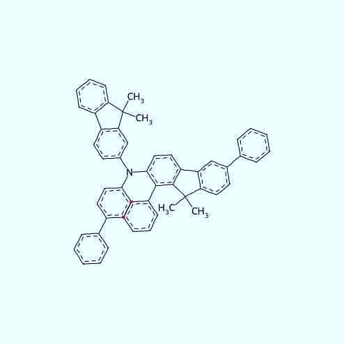 CC1(C)c2ccccc2-c2ccc(N(c3ccc(-c4ccccc4)cc3)c3ccc4c(c3-c3ccccc3)C(C)(C)c3ccc(-c5ccccc5)cc3-4)cc21